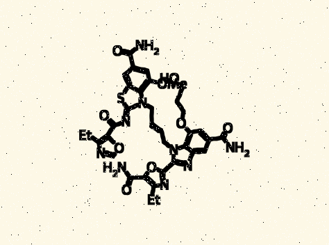 CCc1nc(-c2nc3cc(C(N)=O)cc(OCCCO)c3n2C/C=C/Cn2/c(=N/C(=O)c3ocnc3CC)sc3cc(C(N)=O)cc(OC)c32)oc1C(N)=O